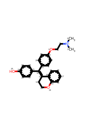 CN(C)CCOc1ccc(C(=C2CCOc3ccccc32)c2ccc(O)cc2)cc1